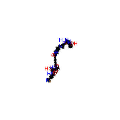 Cc1ncsc1-c1ccc([C@H](C)NC(=O)[C@@H]2C[C@@H](O)CN2C(=O)[C@@H](NC(=O)CCCCCCCCC(=O)N2CCN(c3ccc(CN4CCCC(CCOc5cc(-c6ccccc6O)nnc5N)C4)cc3)CC2)C(C)(C)C)cc1